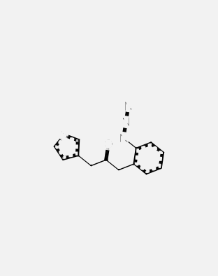 [N-]=[N+]=Nc1ccccc1CC(=O)Cc1ccsc1